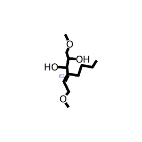 CCCC/C(=C\COC)C(O)C(O)COC